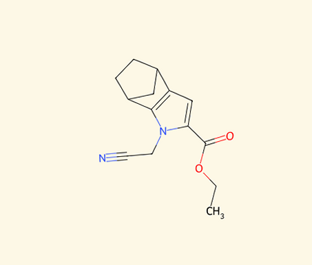 CCOC(=O)c1cc2c(n1CC#N)C1CCC2C1